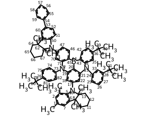 Cc1cc(C)c2c(c1)C1(C)CCCCC1(C)N2c1cc2c3c(c1)N(c1cccc(C(C)(C)C)c1)c1cc(C(C)(C)C)ccc1B3c1ccc(N3c4ccc(-c5ccccc5)cc4C4(C)CCCCC34C)cc1N2c1ccc(C(C)(C)C)cc1